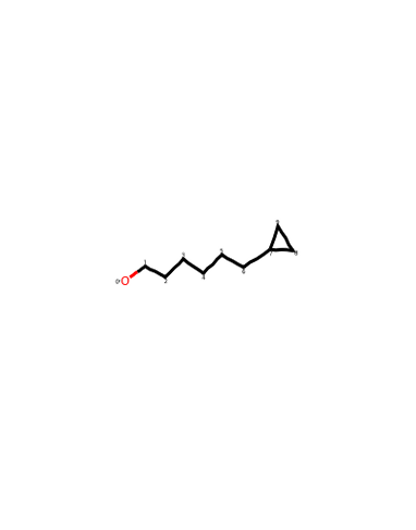 [O]CCCCCCC1CC1